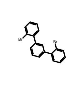 Brc1ccccc1-c1cccc(-c2ccccc2Br)c1